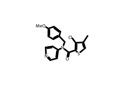 COc1ccc(CN(C(=O)c2scc(C)c2Cl)c2ccncc2)cc1